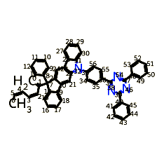 C=C(/C=C\C=C/C)C1(c2ccccc2)c2ccccc2-c2cc3c(cc21)c1ccccc1n3-c1ccc(-c2nc(-c3ccccc3)nc(-c3ccccc3)n2)cc1